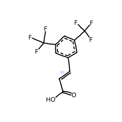 O=C(O)/C=C/c1cc(C(F)(F)F)cc(C(F)(F)F)c1